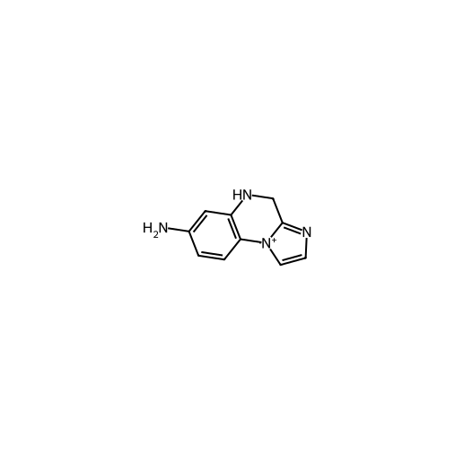 Nc1ccc2c(c1)NCC1=NC=C[N+]12